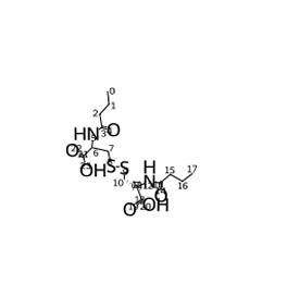 CCCC(=O)NC(CSSC[C@H](NC(=O)CCC)C(=O)O)C(=O)O